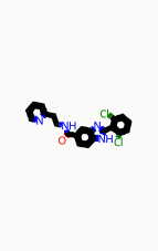 O=C(NCCc1ccccn1)c1ccc2[nH]c(-c3c(Cl)cccc3Cl)nc2c1